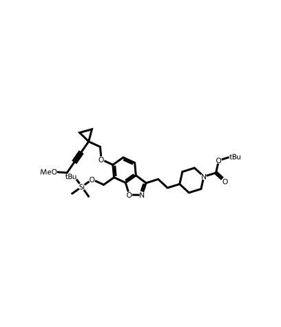 COCC#CC1(COc2ccc3c(CCC4CCN(C(=O)OC(C)(C)C)CC4)noc3c2CO[Si](C)(C)C(C)(C)C)CC1